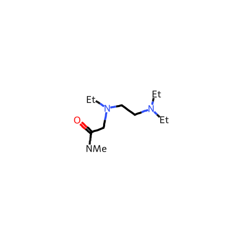 CCN(CC)CCN(CC)CC(=O)NC